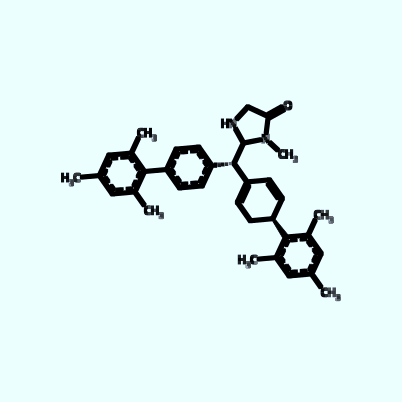 Cc1cc(C)c(-c2ccc([C@@H](C3=CC[C@H](c4c(C)cc(C)cc4C)C=C3)C3NCC(=O)N3C)cc2)c(C)c1